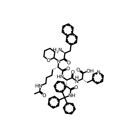 CC(=O)NCCCC[C@@H](C(=O)N[C@@H](CC(=O)NC(c1ccccc1)(c1ccccc1)c1ccccc1)C(=O)N[C@@H](Cc1cccnc1)C(=O)O)N(C(=O)[C@@H](N)Cc1ccc2ccccc2c1)C1CCCCO1